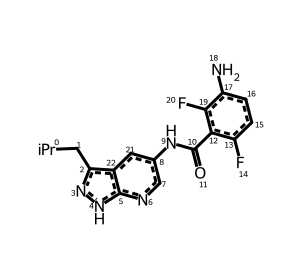 CC(C)Cc1n[nH]c2ncc(NC(=O)c3c(F)ccc(N)c3F)cc12